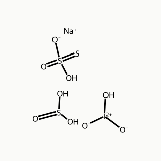 O=S(O)O.O=S([O-])(O)=S.[Na+].[O-][I+2]([O-])O